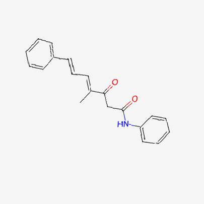 C/C(=C\C=C\c1ccccc1)C(=O)CC(=O)Nc1ccccc1